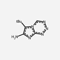 CC(C)(C)c1c(N)nc2nnncn12